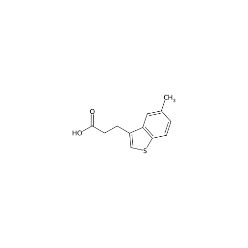 Cc1ccc2scc(CCC(=O)O)c2c1